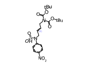 CC(C)(C)OC(=O)N(C/C=C/CN(c1ccc([N+](=O)[O-])cc1)[SH](=O)=O)C(=O)OC(C)(C)C